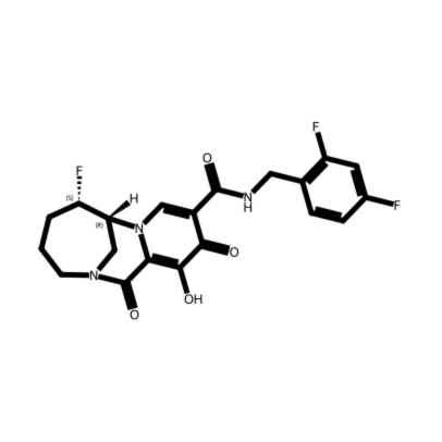 O=C(NCc1ccc(F)cc1F)c1cn2c(c(O)c1=O)C(=O)N1CCC[C@H](F)[C@H]2C1